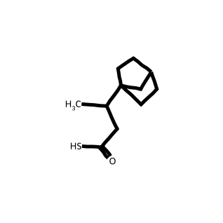 CC(CC(=O)S)C12CCC(CC1)C2